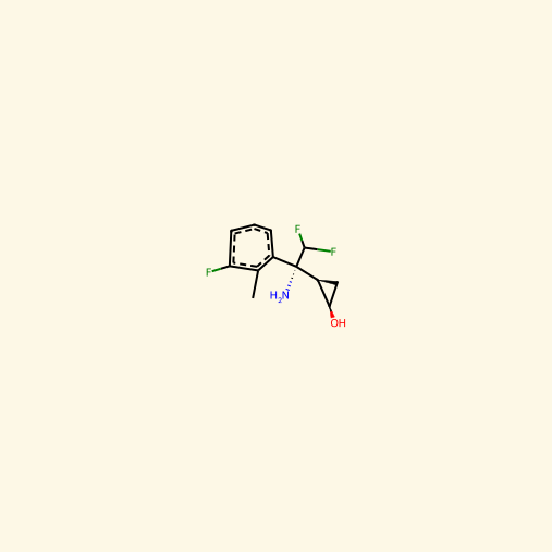 Cc1c(F)cccc1[C@@](N)(C(F)F)[C@H]1C[C@H]1O